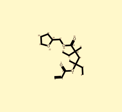 C=CC(=O)OC(C)(CC)CC(C)(CC)C(=O)OCC1CCCO1